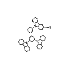 N#Cc1ccc2c(c1)c1ccccc1n2-c1cccc(-c2cc(-n3c4ccccc4c4ccccc43)cc(-n3c4ccccc4c4ccccc43)c2)c1